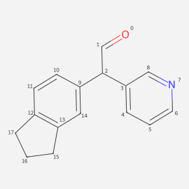 O=CC(c1cccnc1)c1ccc2c(c1)CCC2